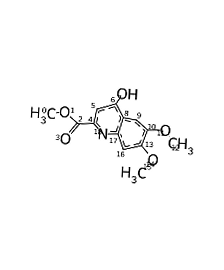 COC(=O)c1cc(O)c2cc(OC)c(OC)cc2n1